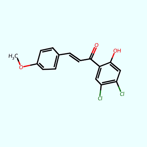 COc1ccc(/C=C/C(=O)c2cc(Cl)c(Cl)cc2O)cc1